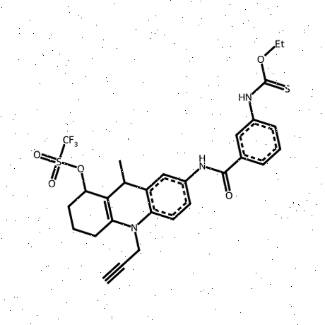 C#CCN1C2=C(C(OS(=O)(=O)C(F)(F)F)CCC2)C(C)c2cc(NC(=O)c3cccc(NC(=S)OCC)c3)ccc21